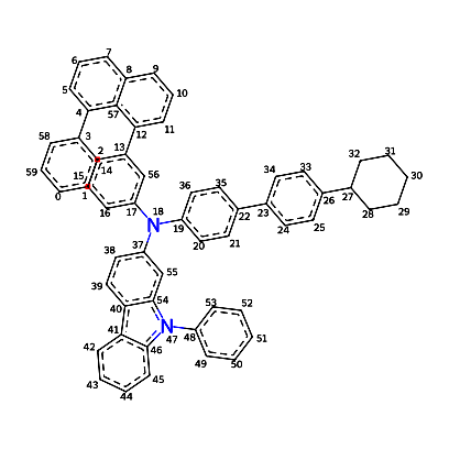 c1ccc(-c2cccc3cccc(-c4cccc(N(c5ccc(-c6ccc(C7CCCCC7)cc6)cc5)c5ccc6c7ccccc7n(-c7ccccc7)c6c5)c4)c23)cc1